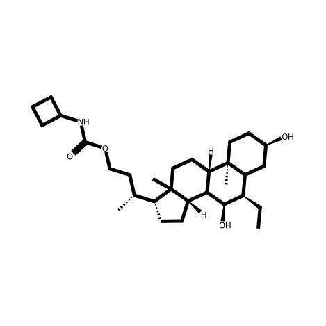 CC[C@@H]1C2C[C@H](O)CC[C@]2(C)[C@H]2CCC3(C)[C@@H]([C@H](C)CCOC(=O)NC4CCC4)CC[C@H]3C2[C@@H]1O